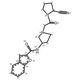 N#CC1CCCN1C(=O)CN1CCC(NC(=O)c2cc3ccccc3o2)C1